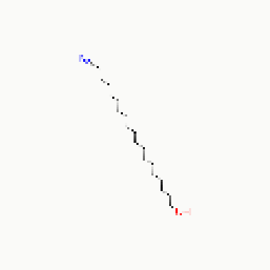 N#CCCCCCCCCCCCCCCCCCCO